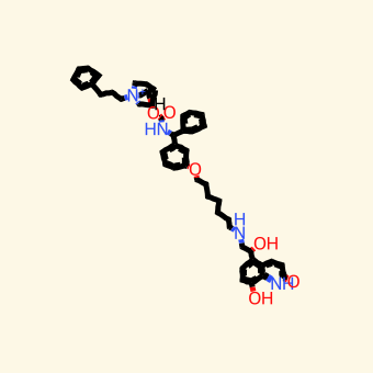 O=C(NC(c1ccccc1)c1cccc(OCCCCCCCNCC(O)c2ccc(O)c3[nH]c(=O)ccc23)c1)O[C@H]1C[N+]2(CCCc3ccccc3)CCC1CC2